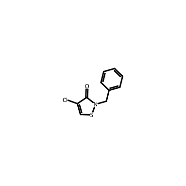 O=c1c(Cl)csn1Cc1ccccc1